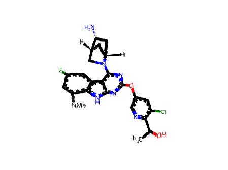 CNc1cc(F)cc2c1[nH]c1nc(Oc3cnc(C(C)O)c(Cl)c3)nc(N3C[C@H]4C[C@@H]3C[C@H]4N)c12